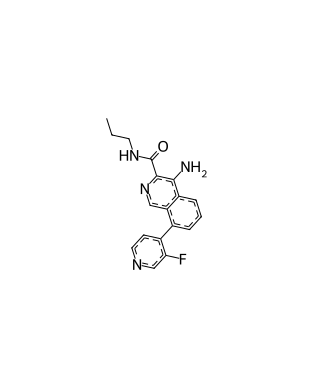 CCCNC(=O)c1ncc2c(-c3ccncc3F)cccc2c1N